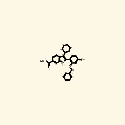 COC(=O)c1ccc2c(C3CCCCC3)c(-c3ccc(F)cc3OCc3ccccc3)[nH]c2c1